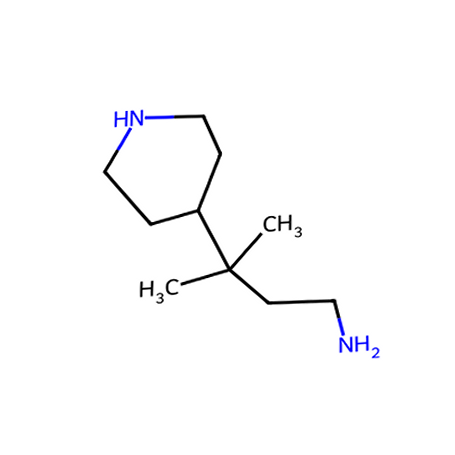 CC(C)(CCN)C1CCNCC1